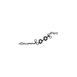 CCCCCCCCCCCCCCCC(=O)Oc1ccc(-c2ccc(C(=O)OC(C)CCC)cc2)cc1